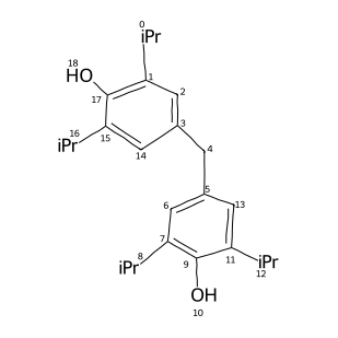 CC(C)c1cc(Cc2cc(C(C)C)c(O)c(C(C)C)c2)cc(C(C)C)c1O